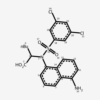 CCCCC(C(=O)O)N(c1cccc2c(N)cccc12)S(=O)(=O)c1cc(Cl)cc(Cl)c1